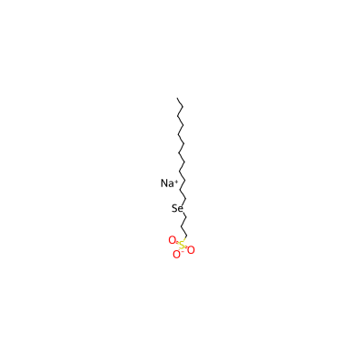 CCCCCCCCCCCC[Se]CCCS(=O)(=O)[O-].[Na+]